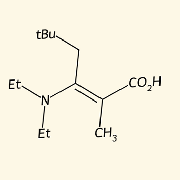 CCN(CC)/C(CC(C)(C)C)=C(\C)C(=O)O